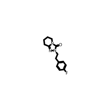 O=c1n(CCc2ccc(F)cc2)nc2n1CCCC2